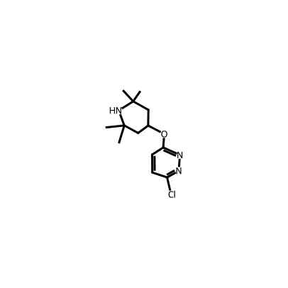 CC1(C)CC(Oc2ccc(Cl)nn2)CC(C)(C)N1